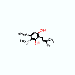 CCCCCc1cc(O)c(CC=C(C)C(C)C)c(O)c1C(=O)O